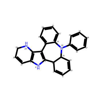 C1=CC2c3[nH]c4c(c3-c3ccccc3N(c3ccccc3)C2C=C1)NCC=C4